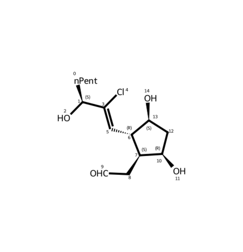 CCCCC[C@H](O)C(Cl)=C[C@H]1[C@H](CC=O)[C@H](O)C[C@@H]1O